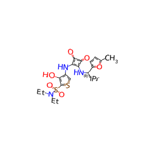 CCN(CC)S(=O)(=O)c1scc(Nc2c(N[C@@H](c3ccc(C)o3)C(C)C)c(=O)c2=O)c1O